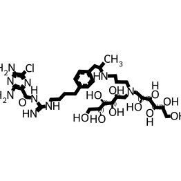 CC(Cc1ccc(CCCCNC(=N)NC(=O)c2nc(Cl)c(N)nc2N)cc1)NCCCN(C[C@H](O)[C@@H](O)[C@H](O)[C@H](O)CO)C[C@H](O)[C@@H](O)[C@H](O)[C@H](O)CO